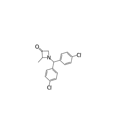 CC1C(=O)CN1C(c1ccc(Cl)cc1)c1ccc(Cl)cc1